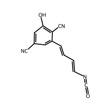 N#Cc1cc(O)c(C#N)c(C=CC=CN=C=O)c1